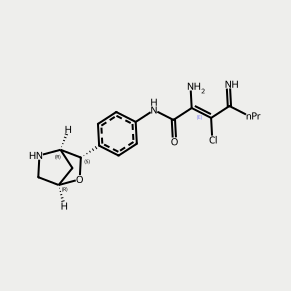 CCCC(=N)/C(Cl)=C(\N)C(=O)Nc1ccc([C@@H]2O[C@H]3CN[C@@H]2C3)cc1